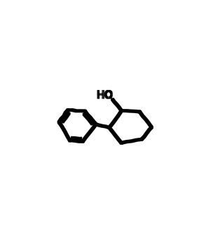 OC1CCCCC1c1ccccc1